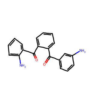 Nc1cccc(C(=O)c2ccccc2C(=O)c2ccccc2N)c1